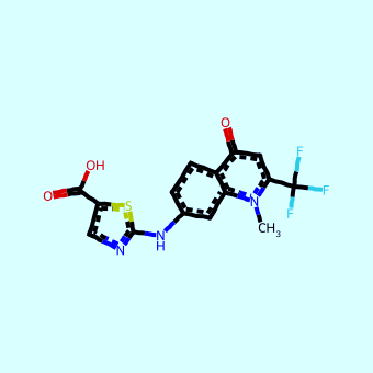 Cn1c(C(F)(F)F)cc(=O)c2ccc(Nc3ncc(C(=O)O)s3)cc21